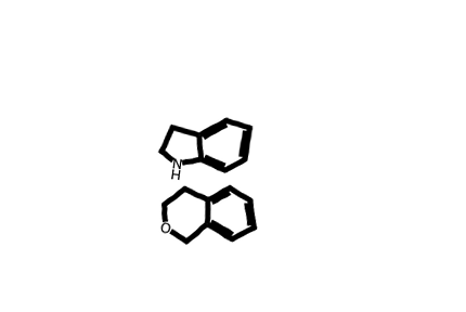 c1ccc2c(c1)CCN2.c1ccc2c(c1)CCOC2